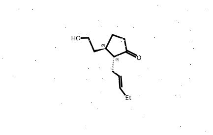 CCC=CC[C@H]1C(=O)CC[C@@H]1CCO